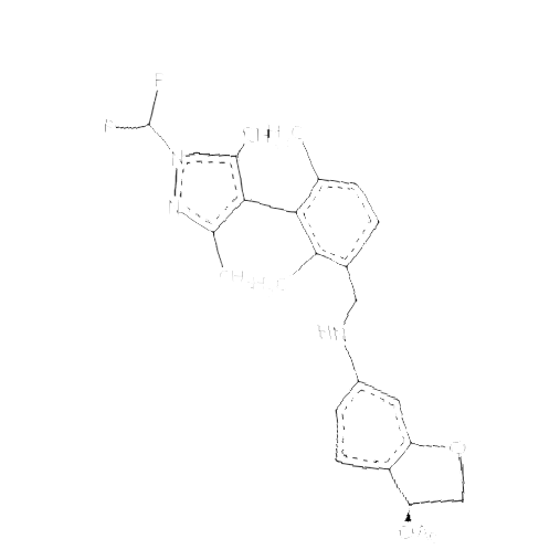 CC(=O)O[C@@H]1COc2cc(NCc3ccc(C)c(-c4c(C)nn(C(F)F)c4C)c3C)ccc21